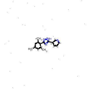 Cc1cc(C)c(-c2n[nH]c(-c3cccnc3)n2)c(C)c1